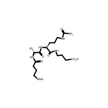 CNCCCC(=O)N[C@@H](C(=O)N[C@@H](CCCNC(N)=O)C(=O)NCCCC(=O)O)C(C)C